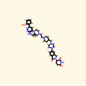 O=C1CCC(N2Cc3cc(N4CCN(CC5CCN(CCN6CCN7c8cc(-c9ccccc9O)nnc8NC[C@H]7C6)CC5)CC4)ccc3C2=O)C(=O)N1